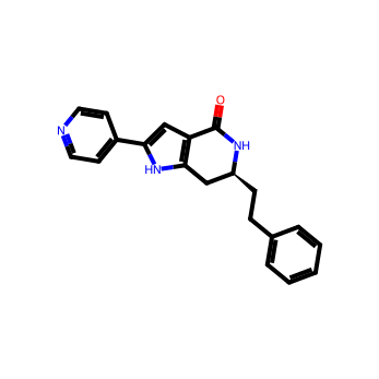 O=C1N[C@@H](CCc2ccccc2)Cc2[nH]c(-c3ccncc3)cc21